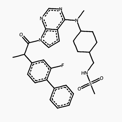 CC(C(=O)n1ccc2c(N(C)C3CCC(CNS(C)(=O)=O)CC3)ncnc21)c1ccc(-c2ccccc2)c(F)c1